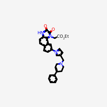 CCOC(=O)Cn1c(=O)c(=O)[nH]c2ccc3ccc(-n4ccc(CN5CC=C(c6ccccc6)CC5)c4)cc3c21